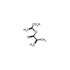 C=C(C)C(=O)OC(=C)C(=O)O